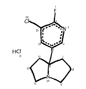 Cl.Fc1ncc(C23CCCN2CCC3)cc1Cl